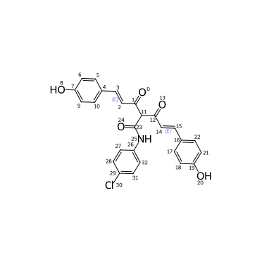 O=C(/C=C/c1ccc(O)cc1)C(C(=O)/C=C/c1ccc(O)cc1)C(=O)Nc1ccc(Cl)cc1